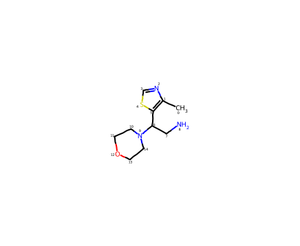 Cc1ncsc1C(CN)N1CCOCC1